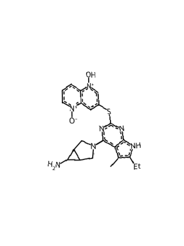 CCc1[nH]c2nc(Sc3cc4c(ccc[n+]4[O-])[n+](O)c3)nc(N3CC4C(N)C4C3)c2c1C